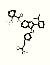 CC(C)c1ccccc1-c1sc2cc(OC(=O)c3ccccc3N)ccc2c1Oc1ccc(/C=C/C(=O)O)cc1